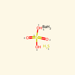 O=S(=O)(O)O.S.[BaH2]